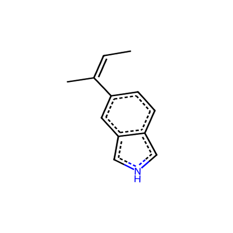 C/C=C(/C)c1ccc2c[nH]cc2c1